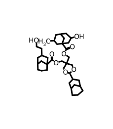 CC1CC2CC(O)CC(C(=O)OCC3(COC(=O)C45CCCC(CC(CCO)C4)C5)COC(C4CC5CCCC(C5)C4)OC3)(C1)C2